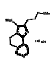 CNCCCn1nc2c(c1C(=O)O)CCc1cnccc1-2.Cl.Cl